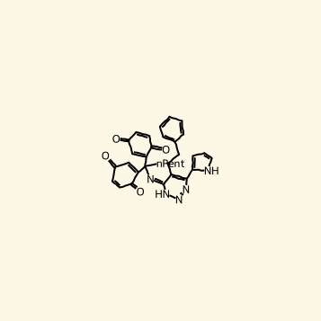 CCCCCC(N=c1[nH]nnc(-c2ccc[nH]2)c1CCc1ccccc1)(C1=CC(=O)C=CC1=O)C1=CC(=O)C=CC1=O